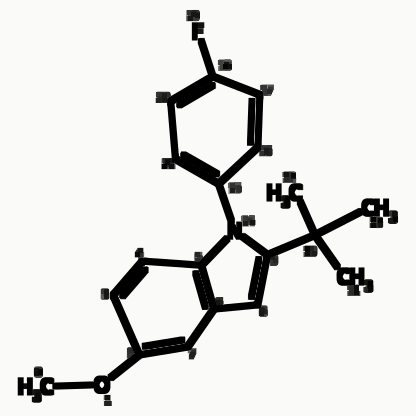 COc1ccc2c(c1)cc(C(C)(C)C)n2-c1ccc(F)cc1